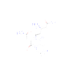 NC(=O)C[C@H](N)c1cn([C@@H](CC(N)=O)C(=O)N2CCNCC2)nn1